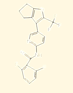 O=C(Nc1ccc(-c2c(C(F)(F)F)oc3c2CCC3)cn1)c1c(F)cccc1F